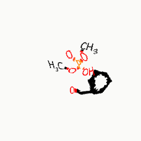 COP(=O)(O)OC.O=Cc1ccccc1